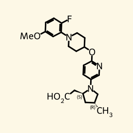 COc1ccc(F)c(N2CCC(Oc3ccc(N4C[C@H](C)C[C@H]4CC(=O)O)cn3)CC2)c1